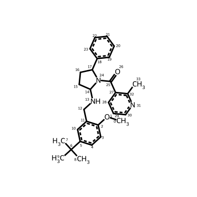 COc1ccc(C(C)(C)C)cc1CNC1CCC(c2ccccc2)N1C(=O)c1cccnc1C